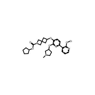 CCOc1ncccc1-c1ccc(OC2CC3(C2)CN(C(=O)OC2CCCC2)C3)c(OC2CCN(C)C2)n1